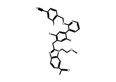 COCCn1c(Cc2cc(F)c(-c3cccnc3OCc3ccc(C#N)cc3F)cc2F)nc2ccc(C(C)=O)cc21